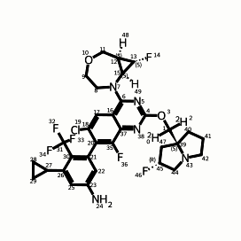 [2H]C([2H])(Oc1nc(N2CCOC[C@H]3[C@H](F)[C@H]32)c2cc(Cl)c(-c3cc(N)cc(C4CC4)c3C(F)(F)F)c(F)c2n1)[C@@]12CCCN1C[C@H](F)C2